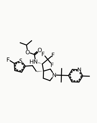 Cc1ccc(C(C)(C)N2CC[C@@](CCc3ccc(F)s3)([C@H](NC(=O)OC(C)C)C(F)(F)F)C2)cn1